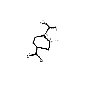 CCC(O)C1CC[C@@H](C(O)CC)[C@H](C)C1